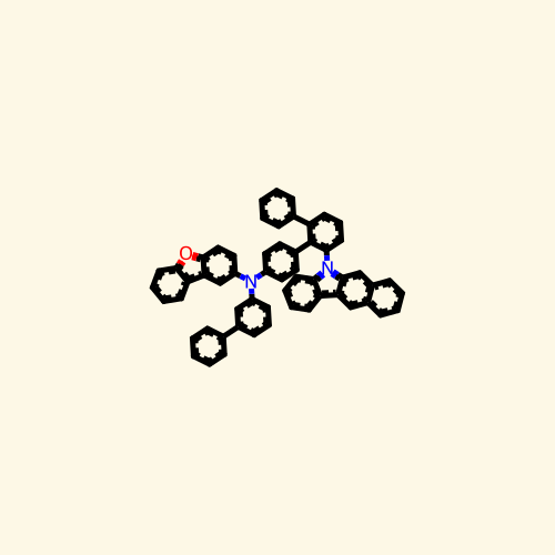 c1ccc(-c2cccc(N(c3ccc(-c4c(-c5ccccc5)cccc4-n4c5ccccc5c5cc6ccccc6cc54)cc3)c3ccc4oc5ccccc5c4c3)c2)cc1